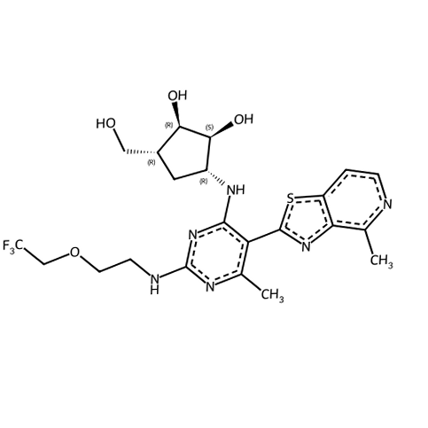 Cc1nc(NCCOCC(F)(F)F)nc(N[C@@H]2C[C@H](CO)[C@@H](O)[C@H]2O)c1-c1nc2c(C)nccc2s1